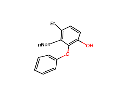 CCCCCCCCCc1c(CC)ccc(O)c1Oc1ccccc1